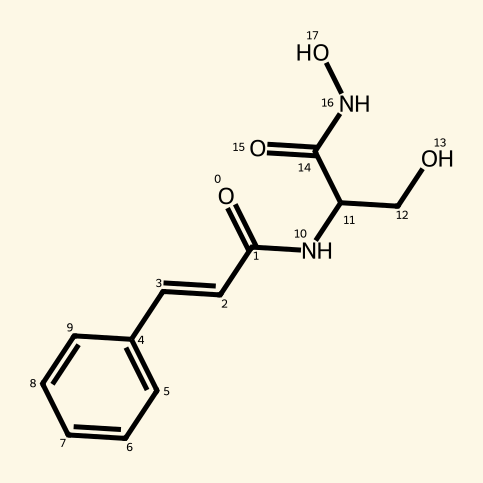 O=C(C=Cc1ccccc1)NC(CO)C(=O)NO